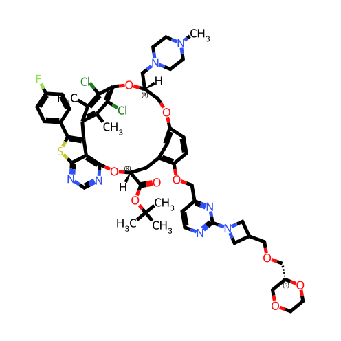 Cc1c(Cl)c2c(Cl)c(C)c1-c1c(-c3ccc(F)cc3)sc3ncnc(c13)O[C@@H](C(=O)OC(C)(C)C)Cc1cc(ccc1OCc1ccnc(N3CC(COC[C@H]4COCCO4)C3)n1)OC[C@@H](CN1CCN(C)CC1)O2